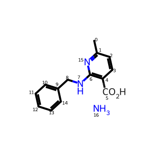 Cc1ccc(C(=O)O)c(NCc2ccccc2)n1.N